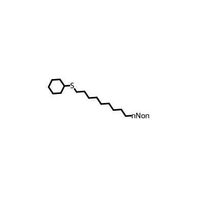 CCCCCCCCCCCCCCCCCCSC1CCCCC1